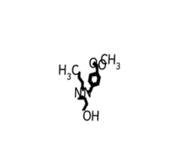 CCCCc1ncc(CCO)n1Cc1ccc(C(=O)OC)cc1